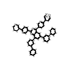 CC/C=C\C(=C/N)c1ccc(-c2nc(-c3ccc(C4=CN=CCC4)nc3)nc3c(-c4cccc(-c5ccccc5)c4)cc(-c4cccc(-c5ccccc5)c4)cc23)cn1